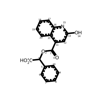 O=C(OC(C(=O)O)c1ccccc1)c1cc(O)nc2ccccc12